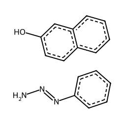 N/N=N/c1ccccc1.Oc1ccc2ccccc2c1